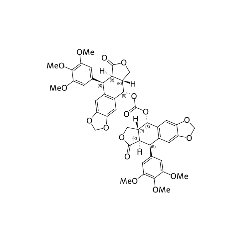 COc1cc([C@@H]2c3cc4c(cc3[C@@H](OC(=O)O[C@@H]3c5cc6c(cc5[C@@H](c5cc(OC)c(OC)c(OC)c5)[C@H]5C(=O)OC[C@@H]53)OCO6)[C@H]3COC(=O)[C@H]23)OCO4)cc(OC)c1OC